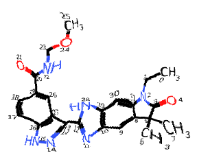 CCN1C(=O)C(C)(C)c2cc3nc(-c4n[nH]c5ccc(C(=O)NCOC)cc45)[nH]c3cc21